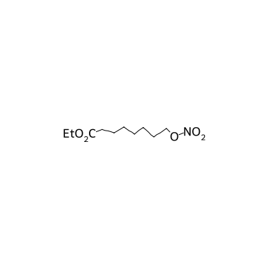 CCOC(=O)CCCCCCCO[N+](=O)[O-]